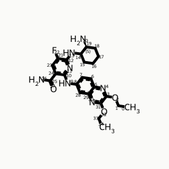 CCOc1nc2ccc(Nc3nc(NC4CCCC[C@@H]4N)c(F)cc3C(N)=O)cc2nc1OCC